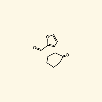 O=C1CCCCC1.O=Cc1ccco1